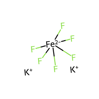 [F][Fe-2]([F])([F])([F])([F])[F].[K+].[K+]